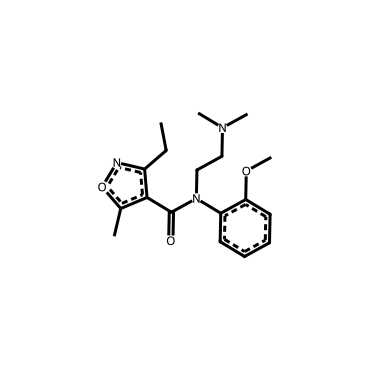 CCc1noc(C)c1C(=O)N(CCN(C)C)c1ccccc1OC